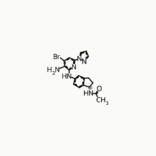 CC(=O)N[C@H]1CCc2cc(Nc3nc(-n4cccn4)cc(Br)c3N)ccc21